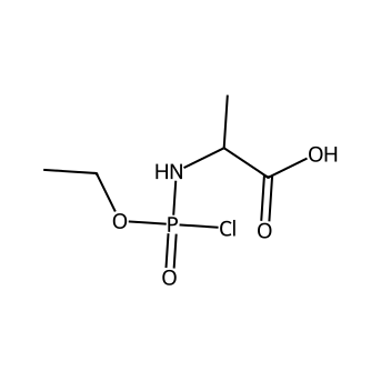 CCOP(=O)(Cl)NC(C)C(=O)O